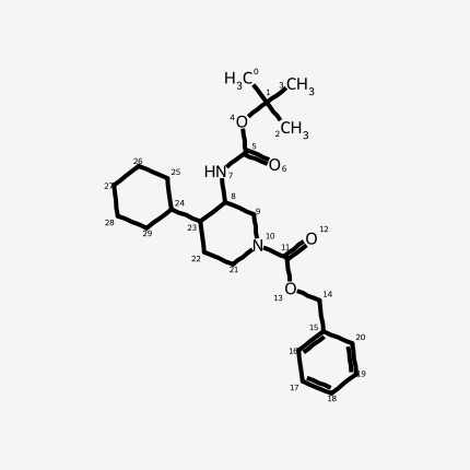 CC(C)(C)OC(=O)NC1CN(C(=O)OCc2ccccc2)CCC1C1CCCCC1